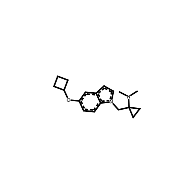 CN(C)C1(Cn2ccc3cc(OC4CCC4)ccc32)CC1